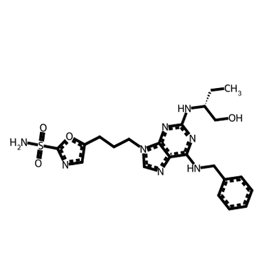 CC[C@H](CO)Nc1nc(NCc2ccccc2)c2ncn(CCCc3cnc(S(N)(=O)=O)o3)c2n1